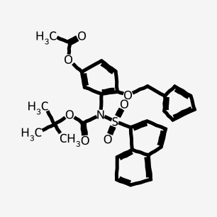 CC(=O)Oc1ccc(OCc2ccccc2)c(N(C(=O)OC(C)(C)C)S(=O)(=O)c2cccc3ccccc23)c1